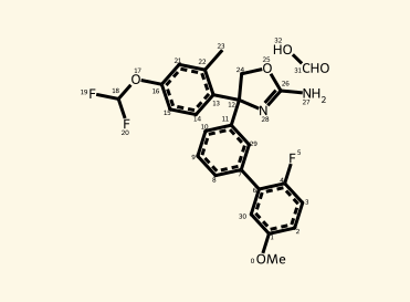 COc1ccc(F)c(-c2cccc(C3(c4ccc(OC(F)F)cc4C)COC(N)=N3)c2)c1.O=CO